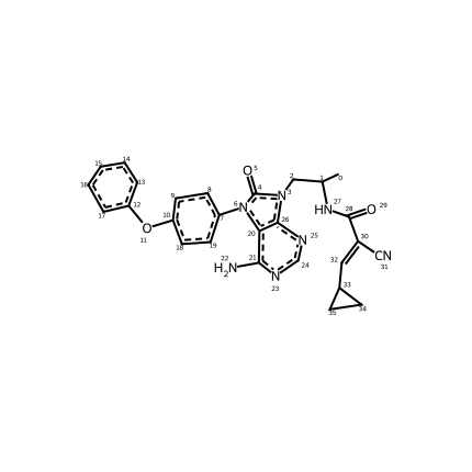 CC(Cn1c(=O)n(-c2ccc(Oc3ccccc3)cc2)c2c(N)ncnc21)NC(=O)C(C#N)=CC1CC1